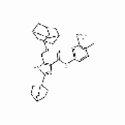 Cc1ccc(NC(=O)c2nc(C34CCC(CC3)CC4)[nH]c2COC23CC4CC(CC(C4)C2)C3)cc1C(=O)O